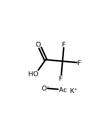 CC(=O)[O-].O=C(O)C(F)(F)F.[K+]